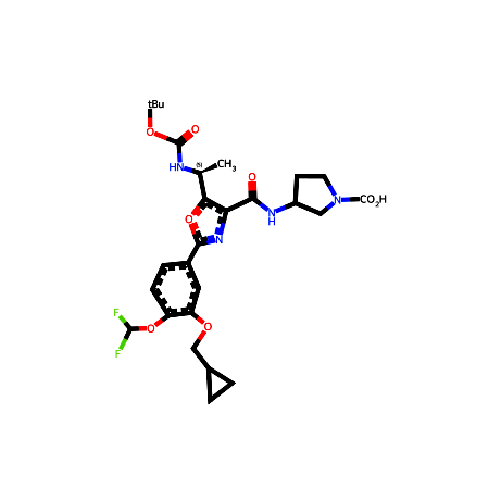 C[C@H](NC(=O)OC(C)(C)C)c1oc(-c2ccc(OC(F)F)c(OCC3CC3)c2)nc1C(=O)NC1CCN(C(=O)O)C1